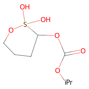 CC(C)OC(=O)OC1CCCOS1(O)O